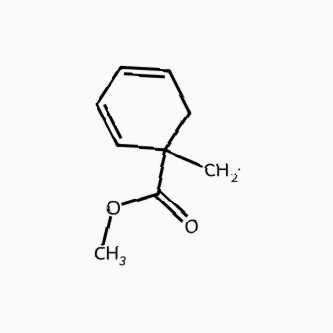 [CH2]C1(C(=O)OC)C=CC=CC1